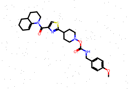 COc1ccc(CNC(=O)ON2CCC(c3nc(C(=O)N4CCCC5CCCC=C54)cs3)CC2)cc1